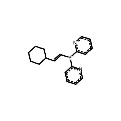 C(=CP(c1ccccn1)c1ccccn1)C1CCCCC1